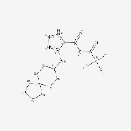 O=C(OC(=O)C(F)(F)F)c1[nH]nnc1SC1CCC2(CCCC2)CC1